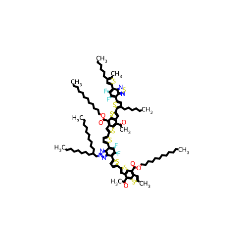 CCCCCCCCCCCCOC(=O)c1c2cc(C)sc2c(C(C)=O)c2cc(-c3ccc(-c4c(F)c(F)c(-c5ccc(-c6cc7c(C(=O)OCCCCCCCCCCCC)c8sc(-c9sc(-c%10c(F)c(F)c(-c%11cc(CCCCCC)c(C)s%11)c%11nsnc%10%11)cc9CCCCCC)cc8c(C(C)=O)c7s6)s5)c5nn(CC(CCCCCCCC)CCCCCCCCCC)nc45)s3)sc12